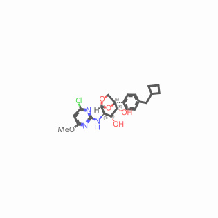 COc1cc(Cl)nc(N[C@H]2[C@H]3OC[C@](c4ccc(CC5CCC5)cc4)(O3)[C@H](O)[C@@H]2O)n1